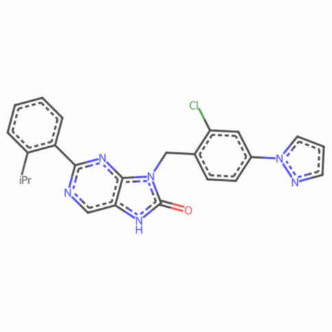 CC(C)c1ccccc1-c1ncc2[nH]c(=O)n(Cc3ccc(-n4cccn4)cc3Cl)c2n1